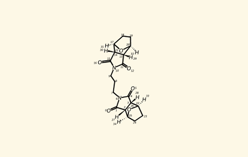 O=C1[C@@H]2[C@H](C(=O)N1CCCN1C(=O)[C@@H]3[C@H](C1=O)[C@H]1CC[C@@H]3O1)[C@H]1CC[C@@H]2O1